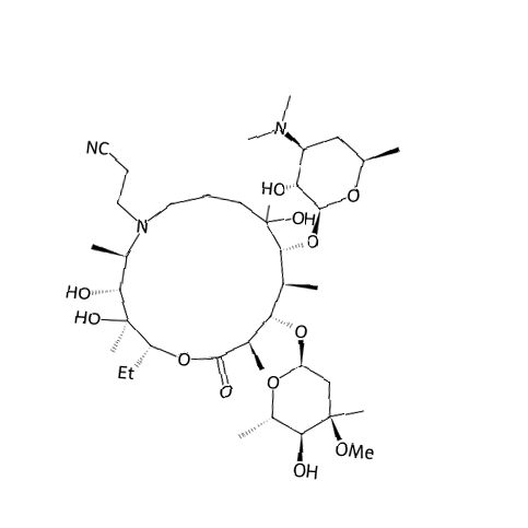 CC[C@H]1OC(=O)[C@H](C)[C@@H](O[C@H]2C[C@@](C)(OC)[C@@H](O)[C@H](C)O2)[C@H](C)[C@@H](O[C@@H]2O[C@H](C)C[C@H](N(C)C)[C@H]2O)C(C)(O)CCCN(CCC#N)[C@H](C)[C@@H](O)[C@]1(C)O